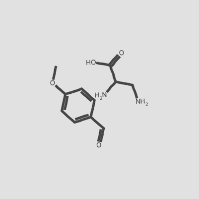 COc1ccc(C=O)cc1.NCC(N)C(=O)O